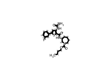 CCCCOC(=O)N1CCCC[C@@H](NC(=O)c2sc(-c3cccc(F)c3)cc2NC(N)=O)C1